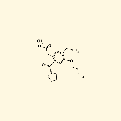 CCCOc1cc(C(=O)N2CCCC2)c(CC(=O)OC)cc1CC